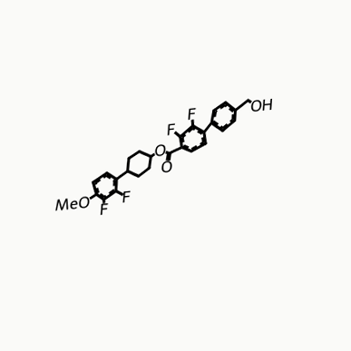 COc1ccc(C2CCC(OC(=O)c3ccc(-c4ccc(CO)cc4)c(F)c3F)CC2)c(F)c1F